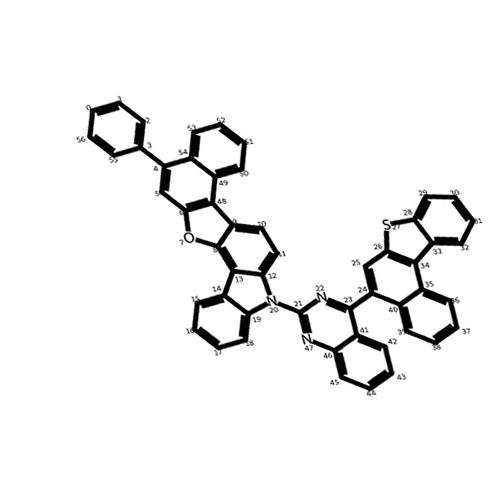 c1ccc(-c2cc3oc4c(ccc5c4c4ccccc4n5-c4nc(-c5cc6sc7ccccc7c6c6ccccc56)c5ccccc5n4)c3c3ccccc23)cc1